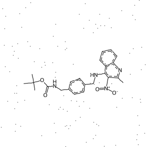 Cc1nc2ccccc2c(NCc2ccc(CNC(=O)OC(C)(C)C)cc2)c1[N+](=O)[O-]